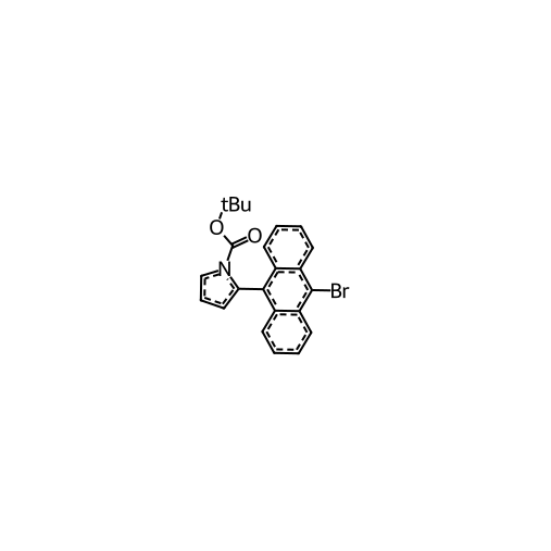 CC(C)(C)OC(=O)n1cccc1-c1c2ccccc2c(Br)c2ccccc12